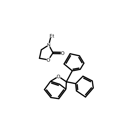 CCN1CCOC1=O.c1ccc(C2(c3ccccc3)Oc3cccc2c3)cc1